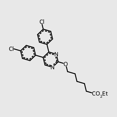 CCOC(=O)CCCCCOc1ncc(-c2ccc(Cl)cc2)c(-c2ccc(Cl)cc2)n1